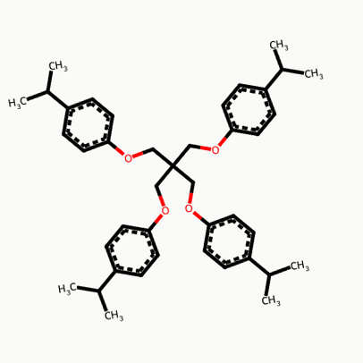 CC(C)c1ccc(OCC(COc2ccc(C(C)C)cc2)(COc2ccc(C(C)C)cc2)COc2ccc(C(C)C)cc2)cc1